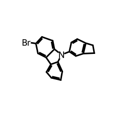 Brc1ccc2c(c1)c1ccccc1n2-c1ccc2c(c1)CC2